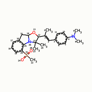 CC(=Cc1ccc(N(C)C)cc1)C1OC2Cc3cccc(S(C)(=O)=O)c3N2C1(C)C